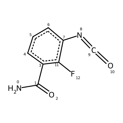 NC(=O)c1cccc(N=C=O)c1F